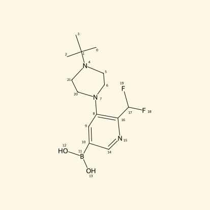 CC(C)(C)N1CCN(c2cc(B(O)O)cnc2C(F)F)CC1